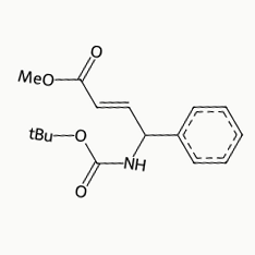 COC(=O)C=CC(NC(=O)OC(C)(C)C)c1ccccc1